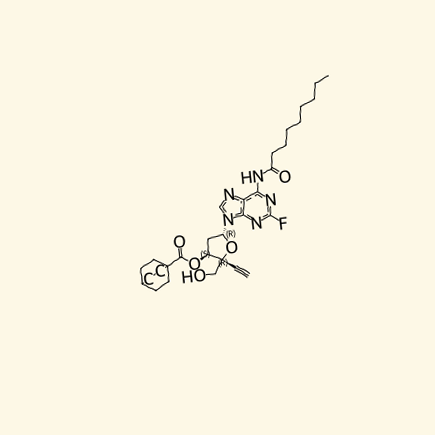 C#C[C@]1(CO)O[C@@H](n2cnc3c(NC(=O)CCCCCCCC)nc(F)nc32)C[C@@H]1OC(=O)C12CCC(CC1)CC2